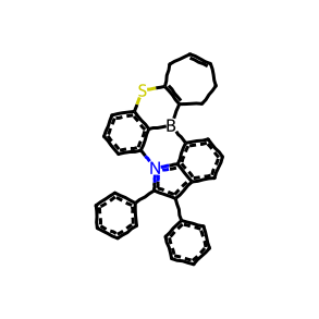 C1=CCC2=C(CC1)B1c3c(cccc3-n3c(-c4ccccc4)c(-c4ccccc4)c4cccc1c43)S2